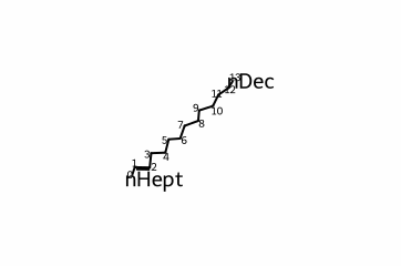 CCCCCCC/C=C/CCCCCCCCCCCCCCCCCCCC